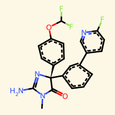 CN1C(=O)[C@@](c2ccc(OC(F)F)cc2)(c2cccc(-c3ccc(F)nc3)c2)N=C1N